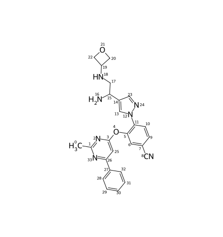 Cc1nc(Oc2cc(C#N)ccc2-n2cc(C(N)CNC3COC3)cn2)cc(-c2ccccc2)n1